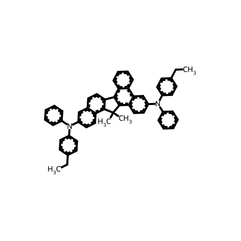 CCc1ccc(N(c2ccccc2)c2ccc3c4c(ccc3c2)-c2c(c3ccc(N(c5ccccc5)c5ccc(CC)cc5)cc3c3ccccc23)C4(C)C)cc1